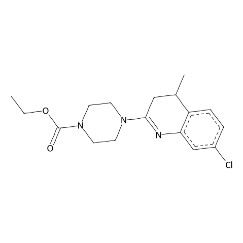 CCOC(=O)N1CCN(C2=Nc3cc(Cl)ccc3C(C)C2)CC1